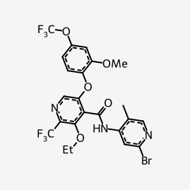 CCOc1c(C(F)(F)F)ncc(Oc2ccc(OC(F)(F)F)cc2OC)c1C(=O)Nc1cc(Br)ncc1C